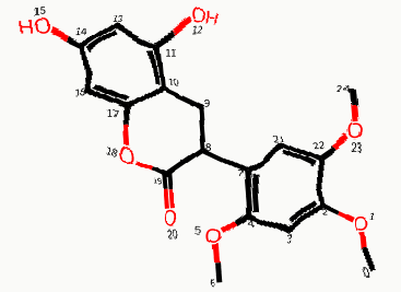 COc1cc(OC)c(C2Cc3c(O)cc(O)cc3OC2=O)cc1OC